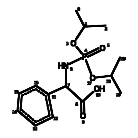 CC(C)OP(=O)(NC(C(=O)O)c1ccccc1)OC(C)C